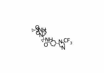 O=C(NC1(c2csc(NS(=O)(=O)C3CC3)n2)CC1)c1ccc(-c2cncc(C(F)(F)F)n2)cc1